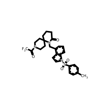 Cc1ccc(S(=O)(=O)n2ccc3c(CN4C(=O)CCCC45CCN(C(=O)C(F)(F)F)CC5)cccc32)cc1